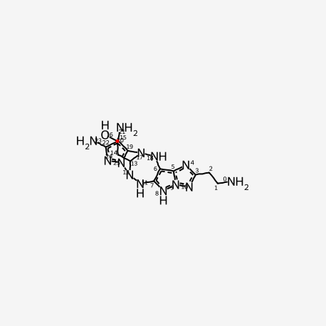 NCCc1nc2c3c([nH]n2n1)NN1C(CCO)N(N3)c2c(N)c(N)nn21